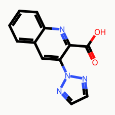 O=C(O)c1nc2ccccc2cc1-n1nccn1